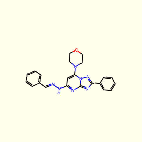 C(=NNc1cc(N2CCOCC2)n2nc(-c3ccccc3)nc2n1)c1ccccc1